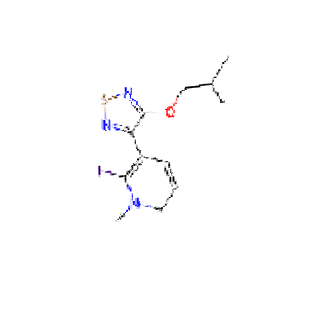 CC(C)COc1nsnc1C1=C(I)N(C)CC=C1